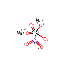 O=[P](=O)[Cr](=[O])(=[O])([O-])[O-].[Na+].[Na+]